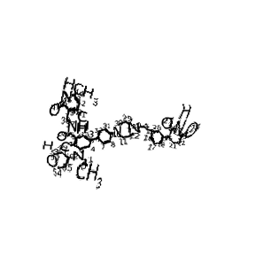 CCN(c1cc(-c2ccc(N3CCN(Cc4cccc(C5CCC(=O)NC5=O)c4)CC3)cc2)cc(C(=O)NCc2c(C)cc(C)[nH]c2=O)c1C)C1CCOCC1